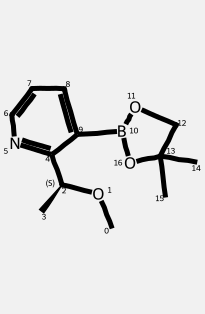 CO[C@@H](C)c1ncccc1B1OCC(C)(C)O1